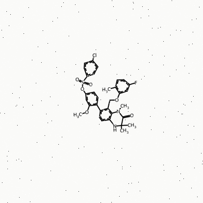 COc1cc(OS(=O)(=O)c2ccc(Cl)cc2)ccc1-c1ccc2c(c1COc1cc(F)ccc1C)N(C)C(=O)C(C)(C)N2